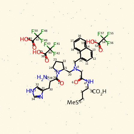 CSCC[C@H](NC(=O)CN(Cc1cccc2ccccc12)C[C@@H]1CCCN1C(=O)[C@@H](N)Cc1c[nH]cn1)C(=O)O.O=C(O)C(F)(F)F.O=C(O)C(F)(F)F.O=C(O)C(F)(F)F